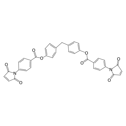 O=C(Oc1ccc(Cc2ccc(OC(=O)c3ccc(N4C(=O)C=CC4=O)cc3)cc2)cc1)c1ccc(N2C(=O)C=CC2=O)cc1